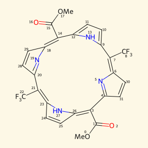 COC(=O)c1c2nc(c(C(F)(F)F)c3ccc([nH]3)c(C(=O)OC)c3nc(c(C(F)(F)F)c4ccc1[nH]4)C=C3)C=C2